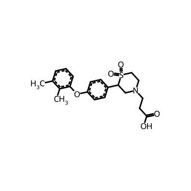 Cc1cccc(Oc2ccc(C3CN(CCC(=O)O)CCS3(=O)=O)cc2)c1C